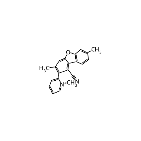 Cc1ccc2c(c1)oc1cc(C)c(-c3cccc[n+]3C)c(C#N)c12